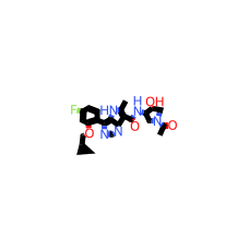 CC(=O)N1CC(O)C(NC(=O)c2c(C)[nH]c3c(-c4ccc(F)cc4OCC4CC4)ncnc23)C1